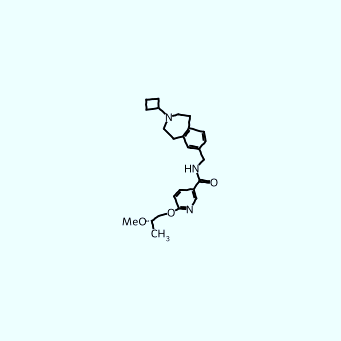 CO[C@@H](C)COc1ccc(C(=O)NCc2ccc3c(c2)CCN(C2CCC2)CC3)cn1